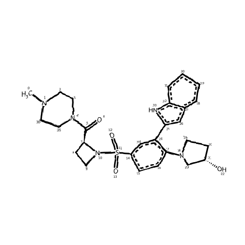 CN1CCN(C(=O)[C@@H]2CCN2S(=O)(=O)c2ccc(N3CC[C@H](O)C3)c(-c3cc4ccccc4[nH]3)c2)CC1